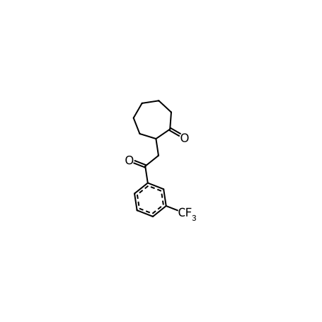 O=C(CC1CCCCCC1=O)c1cccc(C(F)(F)F)c1